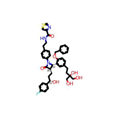 O=C(NCCc1ccc(N2C(=O)[C@H](CC[C@H](O)c3ccc(F)cc3)[C@H]2c2cc(CCC(O)(CO)CO)ccc2OCc2ccccc2)cc1)c1cscn1